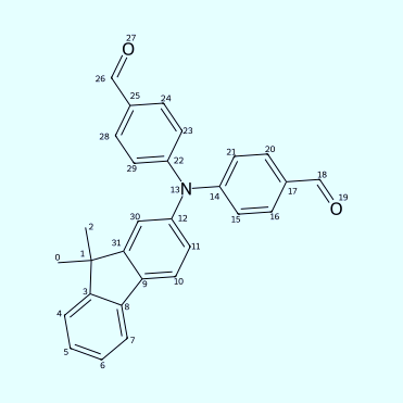 CC1(C)c2ccccc2-c2ccc(N(c3ccc(C=O)cc3)c3ccc(C=O)cc3)cc21